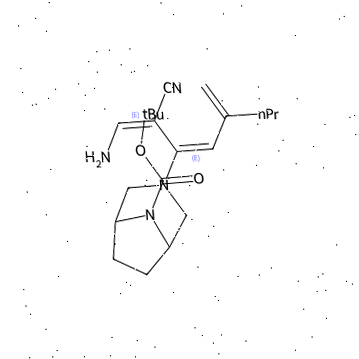 C=C(/C=C(\C(C#N)=C/N)N1CC2CCC(C1)N2C(=O)OC(C)(C)C)CCC